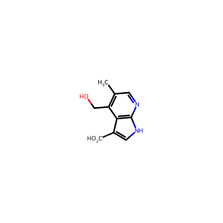 Cc1cnc2[nH]cc(C(=O)O)c2c1CO